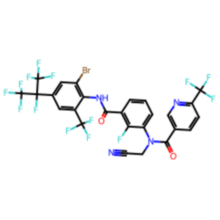 N#CCN(C(=O)c1ccc(C(F)(F)F)nc1)c1cccc(C(=O)Nc2c(Br)cc(C(F)(C(F)(F)F)C(F)(F)F)cc2C(F)(F)F)c1F